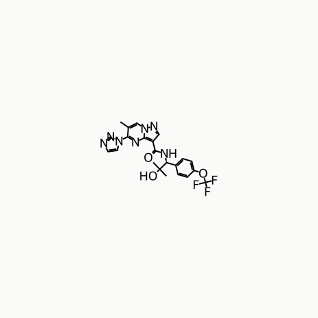 Cc1cn2ncc(C(=O)N[C@@H](c3ccc(OC(F)(F)F)cc3)C(C)(C)O)c2nc1-n1ccnn1